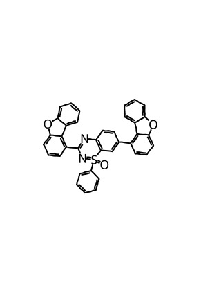 O=S1(c2ccccc2)=NC(c2cccc3oc4ccccc4c23)=Nc2ccc(-c3cccc4oc5ccccc5c34)cc21